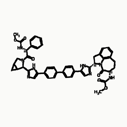 COC(=O)N[C@H]1CCc2cccc3c2N(C1=O)[C@H](c1ncc(-c2ccc(-c4ccc(-c5cnc(C6C7CC7CN6C(=O)[C@H](NC(=O)OC)c6ccccc6)[nH]5)cc4)cc2)[nH]1)C3